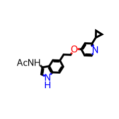 CC(=O)Nc1c[nH]c2ccc(CCOc3ccnc(C4CC4)c3)cc12